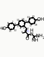 C/C(=C\c1cc(-c2ccc(O)cc2)ccc1-c1ccc(O)cc1)C(=O)NC(=N)N